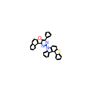 c1ccc(-c2nc(-n3c4ccccc4c4c5c(ccc43)sc3ccccc35)nc3c2oc2ccc4ccccc4c23)cc1